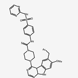 COc1cc2c(cc1CC(C)=O)C1C(N3CCN(C(=S)Nc4ccc(S(=O)(=O)Nc5ncccn5)cc4)CC3)=NC=NC1N2